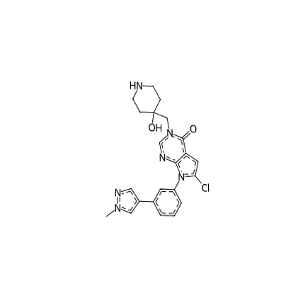 Cn1cc(-c2cccc(-n3c(Cl)cc4c(=O)n(CC5(O)CCNCC5)cnc43)c2)cn1